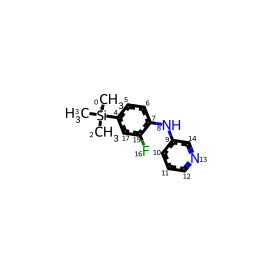 C[Si](C)(C)c1ccc(Nc2cccnc2)c(F)c1